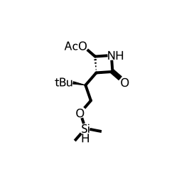 CC(=O)OC1NC(=O)[C@@H]1[C@@H](CO[SiH](C)C)C(C)(C)C